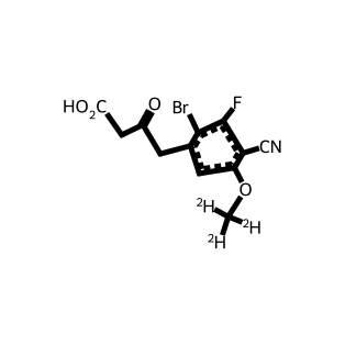 [2H]C([2H])([2H])Oc1cc(CC(=O)CC(=O)O)c(Br)c(F)c1C#N